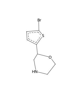 Brc1ccc(C2CNCCO2)s1